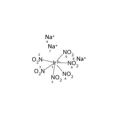 O=[N+]([O-])[Ir-3]([N+](=O)[O-])([N+](=O)[O-])([N+](=O)[O-])([N+](=O)[O-])[N+](=O)[O-].[Na+].[Na+].[Na+]